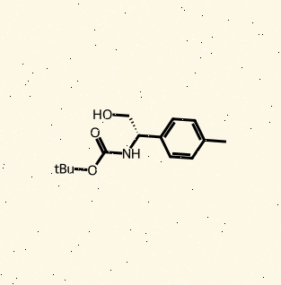 Cc1ccc([C@@H](CO)NC(=O)OC(C)(C)C)cc1